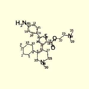 CC1CCC(C2=C(c3cc(-c4ccc(N)cc4)sc3C(=O)OCCN(C)C)CCN(C)C2)CC1